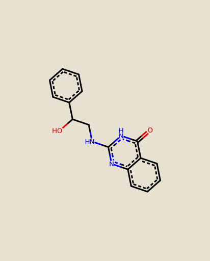 O=c1[nH]c(NCC(O)c2ccccc2)nc2ccccc12